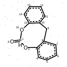 O=[PH]1Oc2ccccc2Cc2ccccc2O1